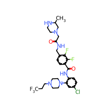 CC1CN(CC(=O)NCc2ccc(C(=O)Nc3ccc(Cl)cc3N3CCN(CCC(F)(F)F)CC3)c(F)c2F)CCN1